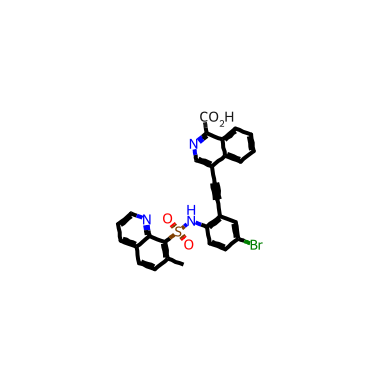 Cc1ccc2cccnc2c1S(=O)(=O)Nc1ccc(Br)cc1C#Cc1cnc(C(=O)O)c2ccccc12